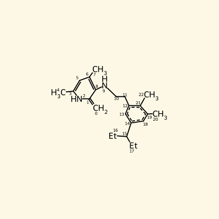 C=C1NC(C)=CC(C)=C1NCCc1cc(C(CC)CC)cc(C)c1C